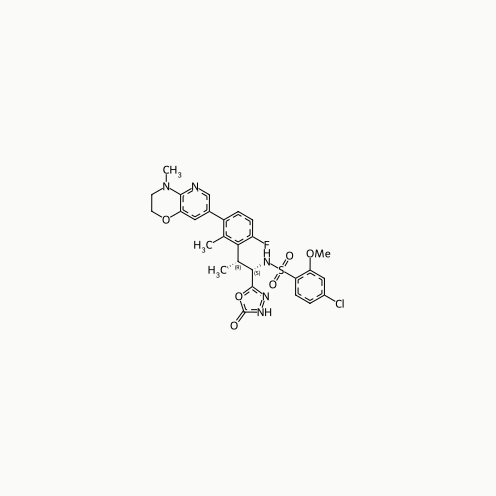 COc1cc(Cl)ccc1S(=O)(=O)N[C@H](c1n[nH]c(=O)o1)[C@H](C)c1c(F)ccc(-c2cnc3c(c2)OCCN3C)c1C